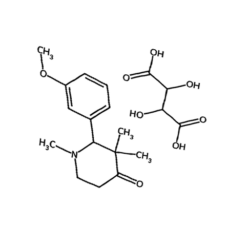 COc1cccc(C2N(C)CCC(=O)C2(C)C)c1.O=C(O)C(O)C(O)C(=O)O